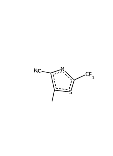 Cc1sc(C(F)(F)F)nc1C#N